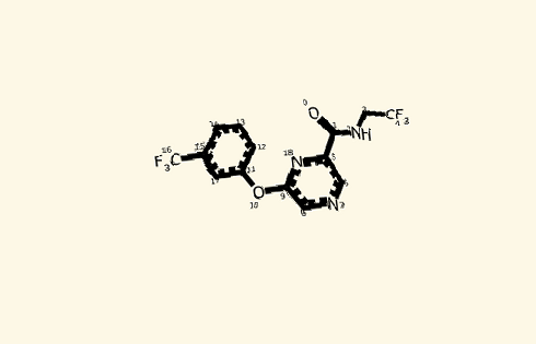 O=C(NCC(F)(F)F)c1cncc(Oc2cccc(C(F)(F)F)c2)n1